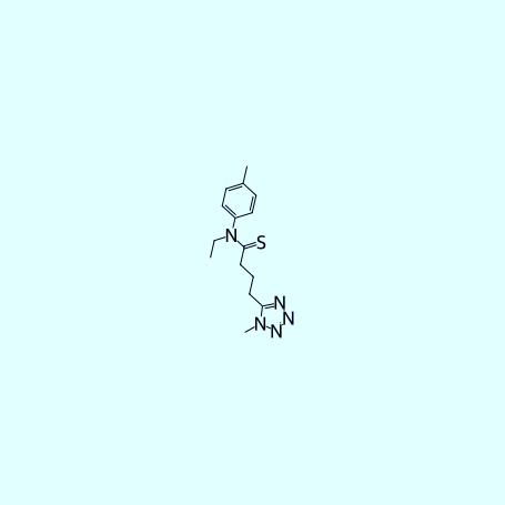 CCN(C(=S)CCCc1nnnn1C)c1ccc(C)cc1